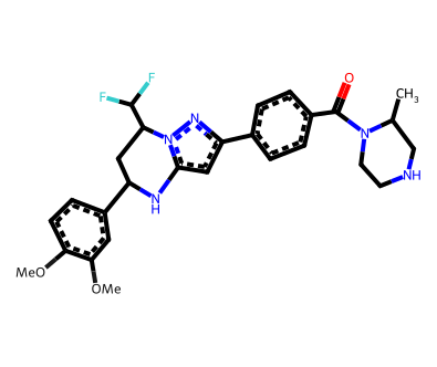 COc1ccc(C2CC(C(F)F)n3nc(-c4ccc(C(=O)N5CCNCC5C)cc4)cc3N2)cc1OC